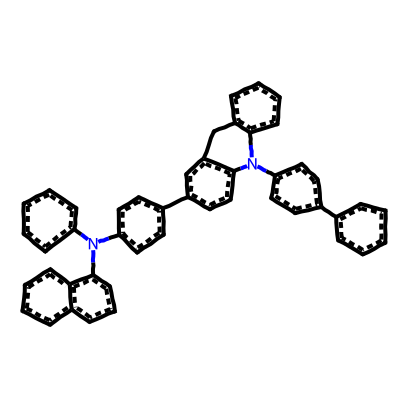 c1ccc(-c2ccc(N3c4ccccc4Cc4cc(-c5ccc(N(c6ccccc6)c6cccc7ccccc67)cc5)ccc43)cc2)cc1